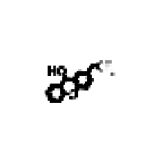 OC1c2ccccc2Oc2ccc(CC(F)(F)F)cc21